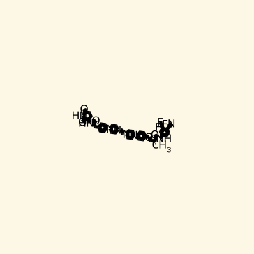 C[C@H](COc1ccc(N2CCN(CCN3CCN(c4ccc(CC(=O)NC5CCC(=O)NC5=O)cc4)CC3)CC2)cc1)C(=O)Nc1ccc(C#N)c(C(F)(F)F)c1